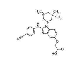 C[C@@H]1C[C@@H](n2c(Nc3ccc(C#N)cc3)nc3cc(OCC(=O)O)ccc32)CC(C)(C)C1